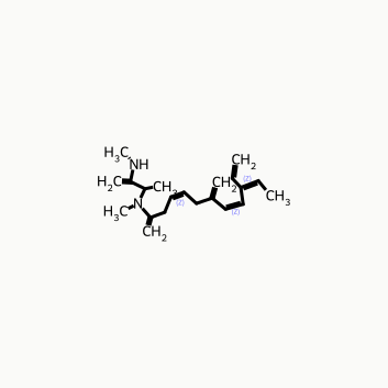 C=CC(/C=C\C(=C)C/C=C\CC(=C)N(C)C(C)C(=C)NC)=C/C